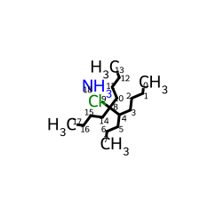 CCCCC(CCC)C(Cl)(CCCC)CCCC.N